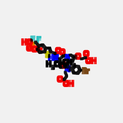 CC(C)(C)C(NC(=O)c1cc2cc(C(F)(F)P(=O)(O)O)ccc2s1)C(=O)N1C[C@H](OCC(=O)O)C[C@H]1C(=O)N(CCC(=O)O)c1ccc(Br)cc1